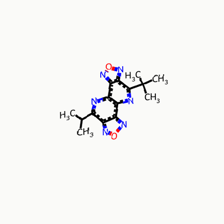 CC(C)c1nc2c3nonc3c(C(C)(C)C)nc2c2nonc12